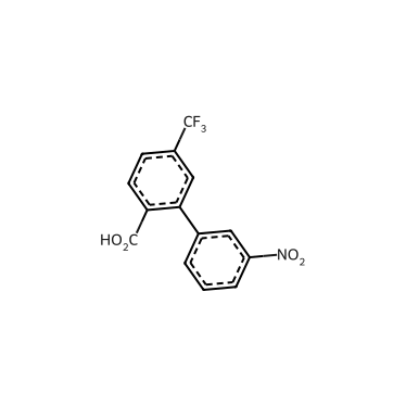 O=C(O)c1ccc(C(F)(F)F)cc1-c1cccc([N+](=O)[O-])c1